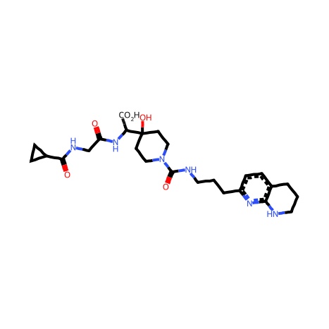 O=C(CNC(=O)C1CC1)NC(C(=O)O)C1(O)CCN(C(=O)NCCCc2ccc3c(n2)NCCC3)CC1